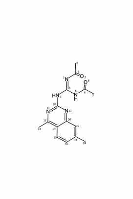 CC(=O)/N=C(\NC(C)=O)Nc1nc(C)c2ccc(C)cc2n1